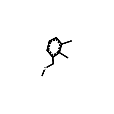 COCc1cccc(C)c1C